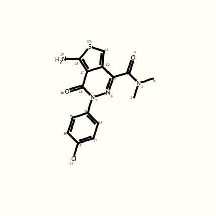 CN(C)C(=O)c1nn(-c2ccc(Cl)cc2)c(=O)c2c(N)scc12